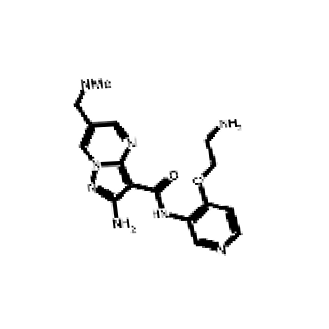 CNCc1cnc2c(C(=O)Nc3cnccc3OCCN)c(N)nn2c1